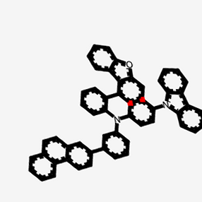 c1cc(-c2ccc3c(ccc4ccccc43)c2)cc(N(c2ccc(-n3c4ccccc4c4ccccc43)cc2)c2ccccc2-c2cccc3oc4ccccc4c23)c1